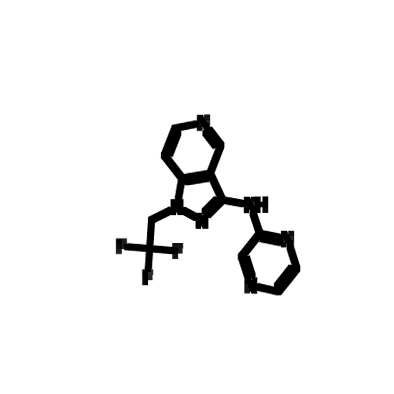 FC(F)(F)Cn1nc(Nc2cnccn2)c2cnccc21